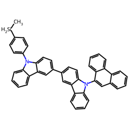 C[SiH2]c1ccc(-n2c3ccccc3c3cc(-c4ccc5c(c4)c4ccccc4n5-c4cc5ccccc5c5ccccc45)ccc32)cc1